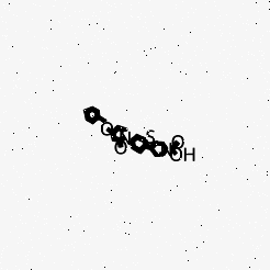 O=C(O)N1CCc2c(sc3cc(-n4ccc(OCc5ccccc5)cc4=O)ccc23)C1